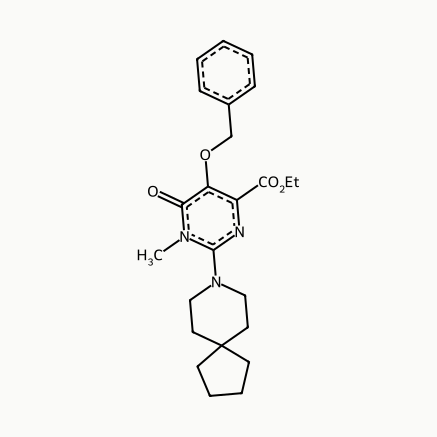 CCOC(=O)c1nc(N2CCC3(CCCC3)CC2)n(C)c(=O)c1OCc1ccccc1